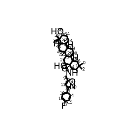 CC1(C)CC[C@]2(C(=O)NCc3cc(-c4ccc(F)cc4)no3)[C@H](O)C[C@]3(C)C(=CC[C@@H]4[C@@]5(C)CC[C@H](O)C(C)(C)[C@@H]5CC[C@]43C)[C@@H]2C1